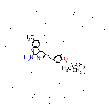 Cc1ccc2c(c1)nc(N)c1ncc(CCc3ccc(OCCC(C)(C)C)cc3)cc12